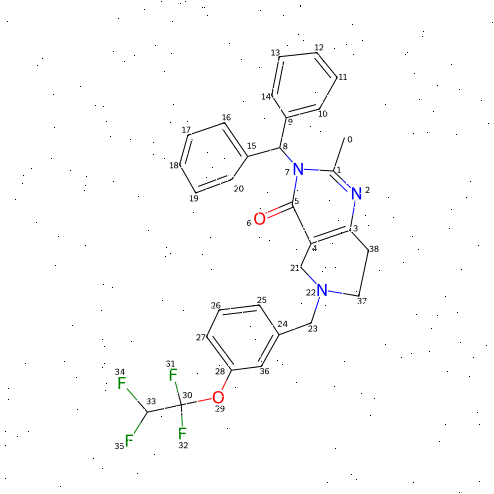 Cc1nc2c(c(=O)n1C(c1ccccc1)c1ccccc1)CN(Cc1cccc(OC(F)(F)C(F)F)c1)CC2